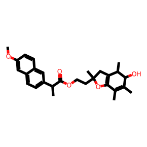 COc1ccc2cc(C(C)C(=O)OCCC3(C)CC4=C(O3)C(C)=C(C)C(O)C4C)ccc2c1